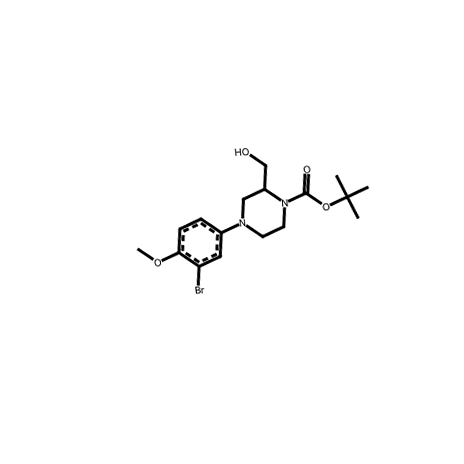 COc1ccc(N2CCN(C(=O)OC(C)(C)C)C(CO)C2)cc1Br